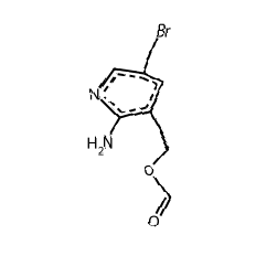 Nc1ncc(Br)cc1COC=O